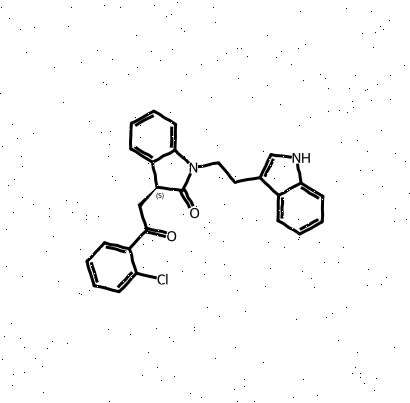 O=C(C[C@@H]1C(=O)N(CCc2c[nH]c3ccccc23)c2ccccc21)c1ccccc1Cl